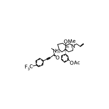 C=CCN1CC[C@@]2(c3cccc(OC(C)=O)c3)C[C@@H](N(C)C(=O)C#Cc3ccc(C(F)(F)F)cc3)CC[C@]2(OC)C1